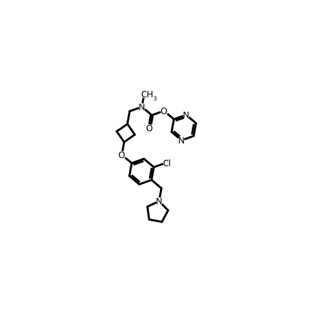 CN(CC1CC(Oc2ccc(CN3CCCC3)c(Cl)c2)C1)C(=O)Oc1cnccn1